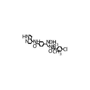 CC(C)(C(=O)NCC(=NO)c1ccc(C(=O)Nc2ccnc3[nH]ccc23)cc1)c1ccc(Cl)cc1